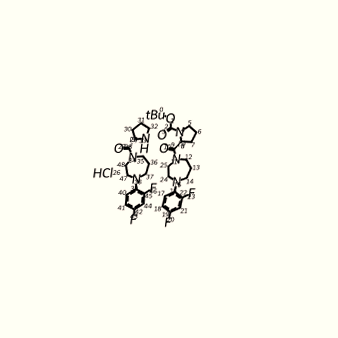 CC(C)(C)OC(=O)N1CCC[C@H]1C(=O)N1CCCN(c2ccc(F)cc2F)CC1.Cl.O=C([C@@H]1CCCN1)N1CCCN(c2ccc(F)cc2F)CC1